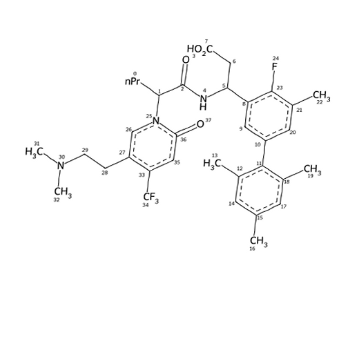 CCCC(C(=O)NC(CC(=O)O)c1cc(-c2c(C)cc(C)cc2C)cc(C)c1F)n1cc(CCN(C)C)c(C(F)(F)F)cc1=O